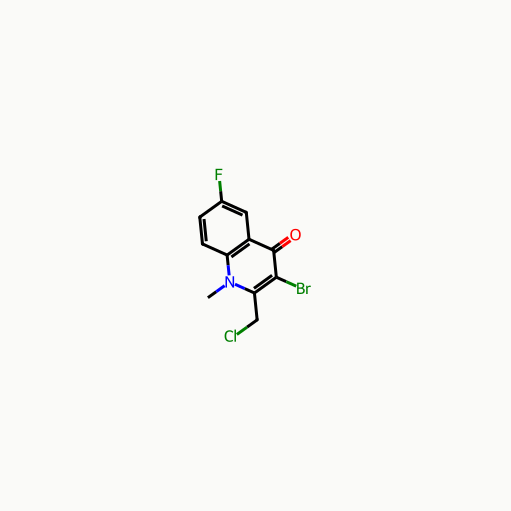 Cn1c(CCl)c(Br)c(=O)c2cc(F)ccc21